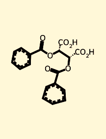 O=C(O[C@H](C(=O)O)[C@@H](OC(=O)c1ccccc1)C(=O)O)c1ccccc1